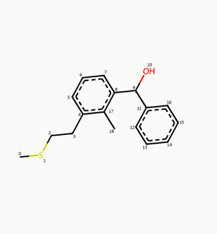 CSCCc1cccc([C](O)c2ccccc2)c1C